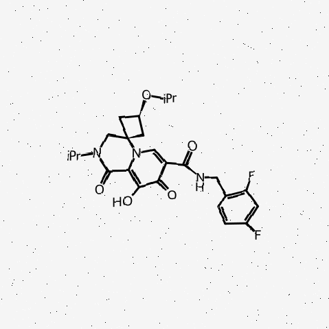 CC(C)O[C@H]1C[C@@]2(CN(C(C)C)C(=O)c3c(O)c(=O)c(C(=O)NCc4ccc(F)cc4F)cn32)C1